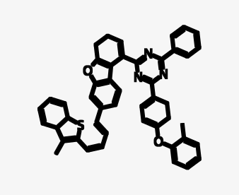 CC1=C(/C=C\C=C\c2ccc3c4c(oc3c2)CCC=C4c2nc(C3=CC=C(Oc4ccccc4C)CC3)nc(-c3ccccc3)n2)SC2C=CC=CC12